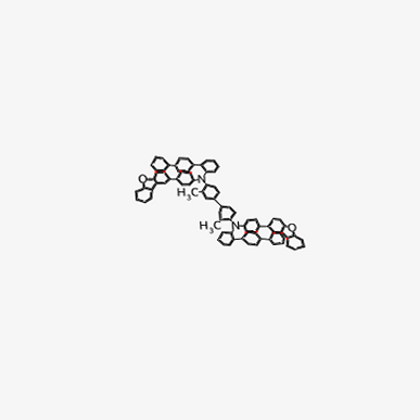 Cc1cc(-c2ccc(N(c3ccc(-c4ccc5oc6ccccc6c5c4)cc3)c3ccccc3-c3ccc(-c4ccccc4)cc3)c(C)c2)ccc1N(c1ccc(-c2ccc3oc4ccccc4c3c2)cc1)c1ccccc1-c1ccc(-c2ccccc2)cc1